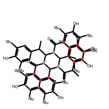 CC(C(=O)N1C(C(C)c2cc(C(C)(C)C)c(O)c(C(C)(C)C)c2)N(C(=O)C(C)c2cc(C(C)(C)C)c(O)c(C(C)(C)C)c2)C(C(C)c2cc(C(C)(C)C)c(O)c(C(C)(C)C)c2)N(C(=O)C(C)c2cc(C(C)(C)C)c(O)c(C(C)(C)C)c2)C1C(C)c1cc(C(C)(C)C)c(O)c(C(C)(C)C)c1)c1cc(C(C)(C)C)c(O)c(C(C)(C)C)c1